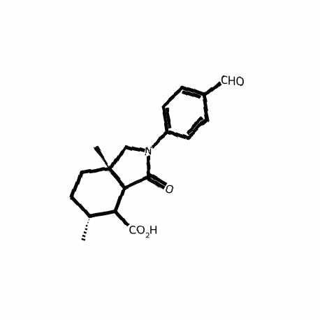 C[C@@H]1CC[C@]2(C)CN(c3ccc(C=O)cc3)C(=O)C2C1C(=O)O